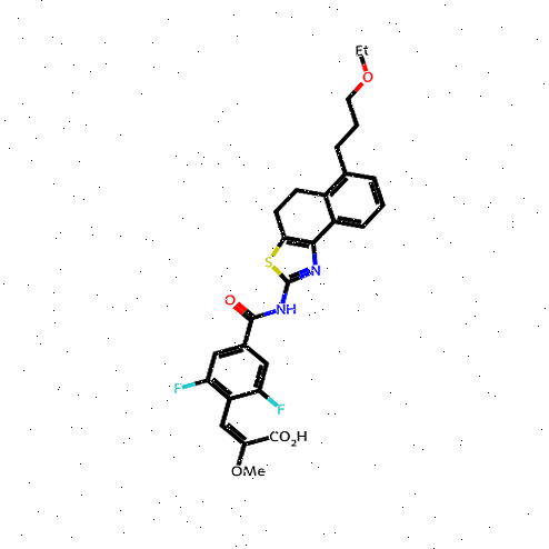 CCOCCCc1cccc2c1CCc1sc(NC(=O)c3cc(F)c(C=C(OC)C(=O)O)c(F)c3)nc1-2